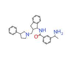 CC(N)c1cccc(C(=O)NC2c3ccccc3CC2CN2CCC(c3ccccc3)C2)c1